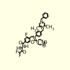 C[C@@H]1CN(Cc2ccccc2)C[C@H](C)N1Cc1ccc(N(Cc2ccc(C(=O)NNC(=O)C(F)F)cc2F)C(=O)N2CCS(=O)(=O)CC2)cc1